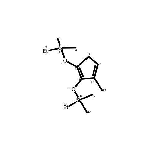 CC[Si](C)(C)OC1=C(O[Si](C)(C)CC)C(C)=CC1